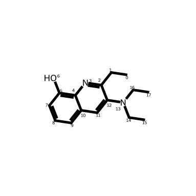 CCc1nc2c(O)cccc2cc1N(CC)CC